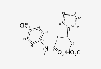 CN(C(=O)CC(CC(=O)O)c1ccccc1)c1ccc(Cl)cc1